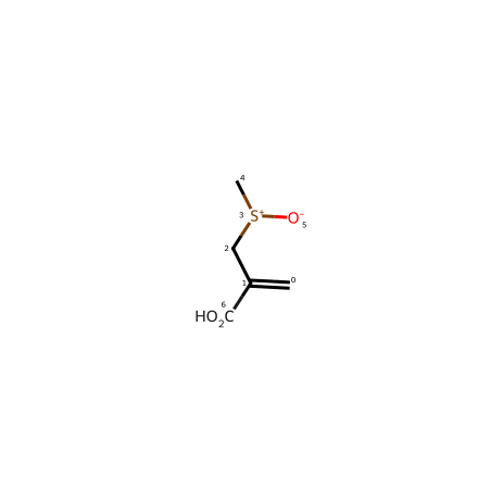 C=C(C[S+](C)[O-])C(=O)O